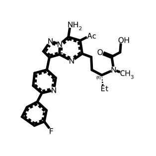 CC[C@H](CCc1nc2c(-c3ccc(-c4cccc(F)c4)nc3)cnn2c(N)c1C(C)=O)N(C)C(=O)CO